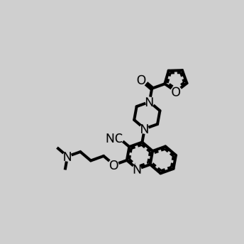 CN(C)CCCOc1nc2ccccc2c(N2CCN(C(=O)c3ccco3)CC2)c1C#N